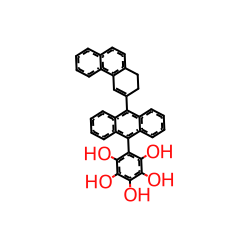 Oc1c(O)c(O)c(-c2c3ccccc3c(C3=Cc4c(ccc5ccccc45)CC3)c3ccccc23)c(O)c1O